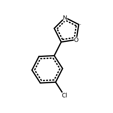 Clc1cccc(-c2cn[c]o2)c1